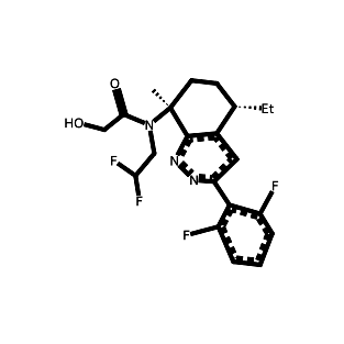 CC[C@H]1CC[C@](C)(N(CC(F)F)C(=O)CO)c2nnc(-c3c(F)cccc3F)cc21